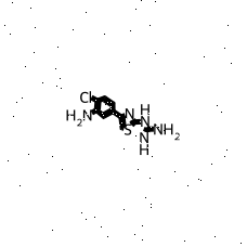 N=C(N)Nc1nc(-c2ccc(Cl)c(N)c2)cs1